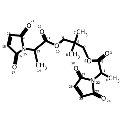 CC(C(=O)OCC(C)(C)COC(=O)C(C)N1C(=O)C=CC1=O)N1C(=O)C=CC1=O